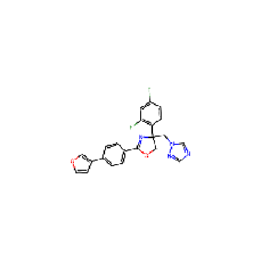 Fc1ccc(C2(Cn3cncn3)COC(c3ccc(-c4ccoc4)cc3)=N2)c(F)c1